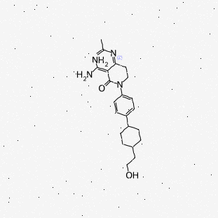 C=C(C)/N=C1/CCN(c2ccc(C3CCC(CCO)CC3)cc2)C(=O)C1=C(N)N